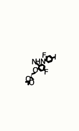 CC1(C)OC[C@@H](CCOc2cc(F)cc(Nc3ccc(I)cc3F)c2C#N)O1